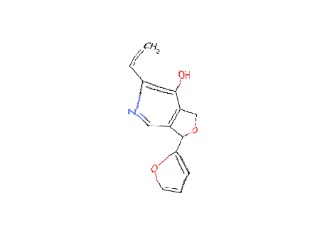 C=Cc1ncc2c(c1O)COC2c1ccco1